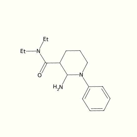 CCN(CC)C(=O)C1CCCN(c2ccccc2)C1N